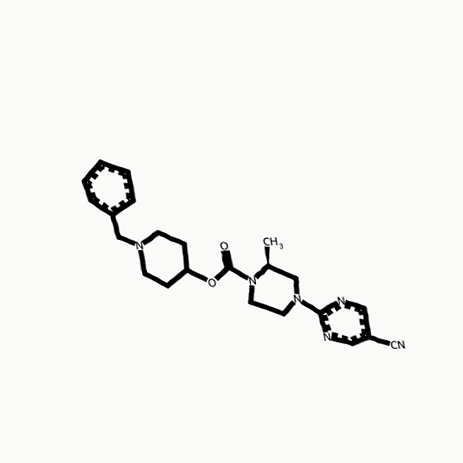 C[C@H]1CN(c2ncc(C#N)cn2)CCN1C(=O)OC1CCN(Cc2ccccc2)CC1